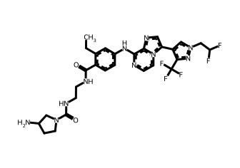 CCc1cc(Nc2nccn3c(-c4cn(CC(F)F)nc4C(F)(F)F)cnc23)ccc1C(=O)NCCNC(=O)N1CCC(N)C1